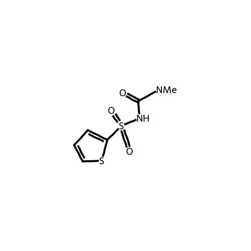 CNC(=O)NS(=O)(=O)c1cccs1